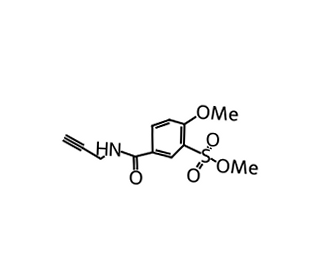 C#CCNC(=O)c1ccc(OC)c(S(=O)(=O)OC)c1